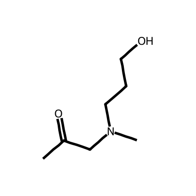 CC(=O)CN(C)CCCO